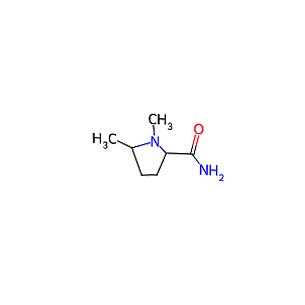 CC1CCC(C(N)=O)N1C